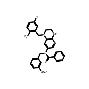 COc1cccc(CN(C(=O)c2ccccc2)c2cnc3c(c2)N(Cc2cc(Cl)ccc2C(F)(F)F)CCN3)c1